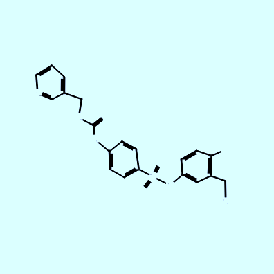 NCc1cc(NS(=O)(=O)c2ccc(NC(=O)NCc3cccnc3)cc2)ccc1Cl